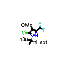 CCCCCCCC(C)(CCCC)n1nc(C(F)F)c(OC)c1Cl